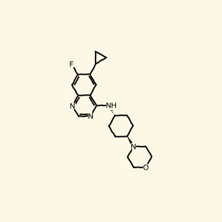 Fc1cc2ncnc(N[C@H]3CC[C@H](N4CCOCC4)CC3)c2cc1C1CC1